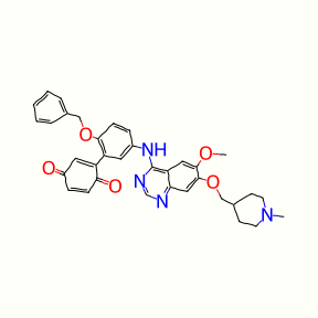 COc1cc2c(Nc3ccc(OCc4ccccc4)c(C4=CC(=O)C=CC4=O)c3)ncnc2cc1OCC1CCN(C)CC1